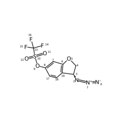 [N-]=[N+]=N[C@@H]1COc2cc(OS(=O)(=O)C(F)(F)F)ccc21